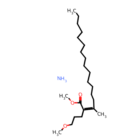 CCCCCCCCCCCCCCC(C)=C(CCCOC)C(=O)OC.N